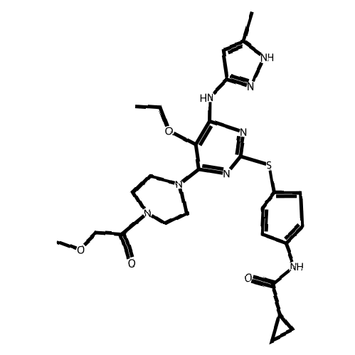 CCOc1c(Nc2cc(C)[nH]n2)nc(Sc2ccc(NC(=O)C3CC3)cc2)nc1N1CCN(C(=O)COC)CC1